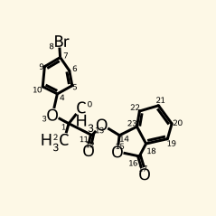 CC(C)(Oc1ccc(Br)cc1)C(=O)OC1OC(=O)c2ccccc21